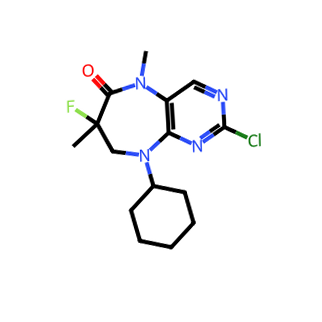 CN1C(=O)C(C)(F)CN(C2CCCCC2)c2nc(Cl)ncc21